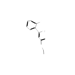 CCOC(=O)C=C(N)c1ccccc1Cl